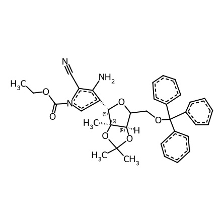 CCOC(=O)n1cc([C@@H]2OC(COC(c3ccccc3)(c3ccccc3)c3ccccc3)[C@H]3OC(C)(C)O[C@]32C)c(N)c1C#N